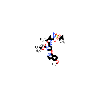 CCC1CC1(NC(=O)C1CC(Oc2nccc3cc(OC)ccc23)CN1C(=O)OC(C)(C)C)C(=O)NS(=O)(=O)OC1(CC)CC1